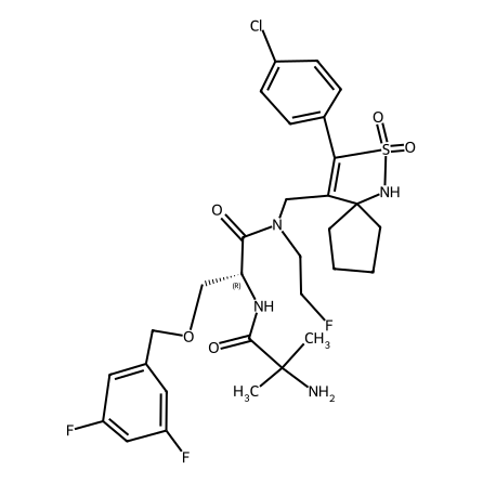 CC(C)(N)C(=O)N[C@H](COCc1cc(F)cc(F)c1)C(=O)N(CCF)CC1=C(c2ccc(Cl)cc2)S(=O)(=O)NC12CCCC2